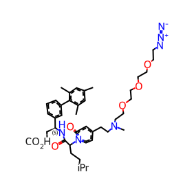 Cc1cc(C)c(-c2cccc([C@H](CC(=O)O)NC(=O)C(CCC(C)C)n3ccc(CCN(C)CCOCCOCCOCCN=[N+]=[N-])cc3=O)c2)c(C)c1